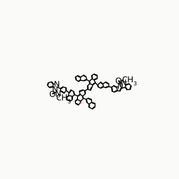 Cn1c(=O)n2c3cc(-c4ccc5cc(-c6c7ccccc7c(-c7ccc8ccccc8c7)c7cc(-c8ccc9c(-c%10ccc(-c%11ccc%12c(c%11)n(C)c(=O)n%11c%13ccccc%13nc%12%11)c%11ccccc%10%11)c%10ccccc%10c(-c%10ccc%11ccccc%11c%10)c9c8)ccc67)ccc5c4)ccc3cc2c2ccccc21